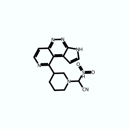 N#CC(N1CCCC(c2nccc3nnc4[nH]ccc4c23)C1)[SH](=O)=O